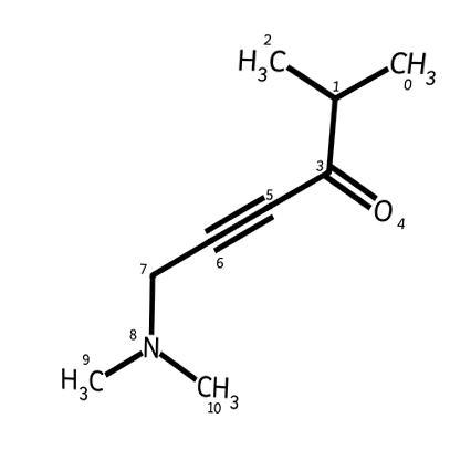 CC(C)C(=O)C#CCN(C)C